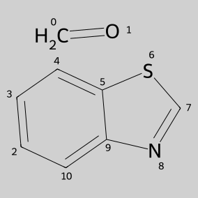 C=O.c1ccc2scnc2c1